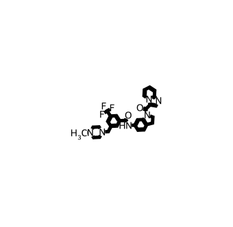 CN1CCN(Cc2cc(C(=O)Nc3ccc4c(c3)N(C(=O)c3cnc5ccccn35)CC4)cc(C(F)(F)F)c2)CC1